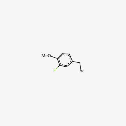 COc1ccc(CC(C)=O)cc1F